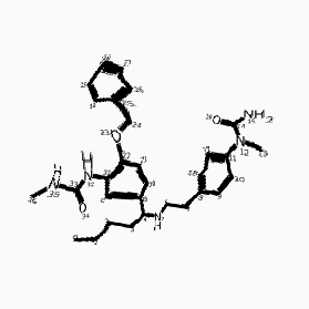 CCCCC(NCCc1ccc(N(C)C(N)=O)cc1)c1ccc(OCc2ccccc2)c(NC(=O)NC)c1